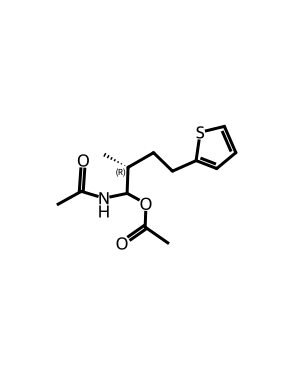 CC(=O)NC(OC(C)=O)[C@H](C)CCc1cccs1